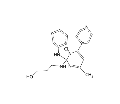 CC1=NC(NCCCO)(Nc2ccccc2)N(Cl)C(c2ccncc2)=C1